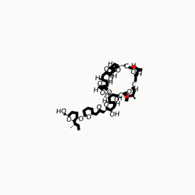 C=C1C[C@@H]2CC[C@@]34C[C@H]5OC6C(O3)[C@H]3O[C@H](CC[C@@H]3O[C@H]6C5O4)CC(=O)O[C@@H]3[C@@H](C)[C@@H]4O[C@H](CC(=O)CC5CCC[C@H](O[C@H]6CC[C@@H](CO)O[C@H]6[C@@H](C)CC)O5)[C@H](O)C[C@@H]4O[C@H]3C[C@H]3O[C@@H](CC[C@@H]1O2)C[C@@H](C)C3=C